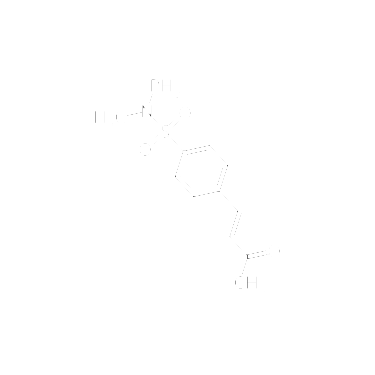 CC(=O)/C=C/c1ccc(S(=O)(=O)N(C)P)cc1